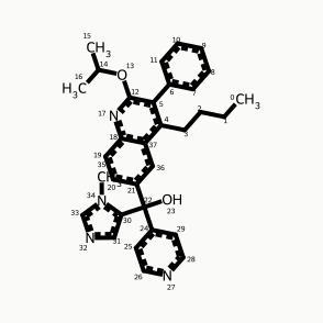 CCCCc1c(-c2ccccc2)c(OC(C)C)nc2ccc(C(O)(c3ccncc3)c3cncn3C)cc12